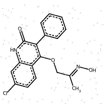 CC(COc1c(-c2ccccc2)c(=O)[nH]c2cc(Cl)ccc12)=NO